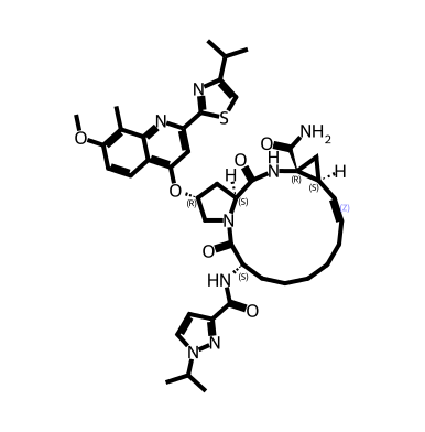 COc1ccc2c(O[C@@H]3C[C@H]4C(=O)N[C@]5(C(N)=O)C[C@H]5/C=C\CCCCC[C@H](NC(=O)c5ccn(C(C)C)n5)C(=O)N4C3)cc(-c3nc(C(C)C)cs3)nc2c1C